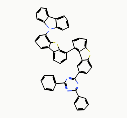 c1ccc(-c2nc(-c3ccccc3)nc(-c3ccc4sc5cccc(-c6cccc7c6sc6c(-n8c9ccccc9c9ccccc98)cccc67)c5c4c3)n2)cc1